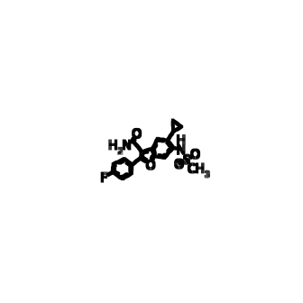 CS(=O)(=O)Nc1cc2oc(-c3ccc(F)cc3)c(C(N)=O)c2cc1C1CC1